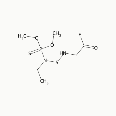 CCN(SNCC(=O)F)P(=S)(OC)OC